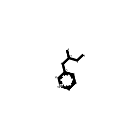 CCC(C)Cc1cccnc1